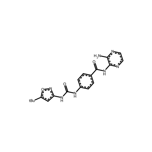 CC(C)(C)c1cc(NC(=O)Nc2ccc(C(=O)Nc3nccnc3N)cc2)no1